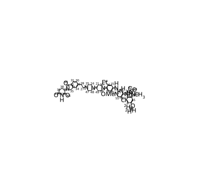 [2H]C([2H])([2H])Oc1ccc(Nc2nc(Nc3cc(CC)c(N4CCC(N5CCN(CCc6ccc7c(c6)CN(C6CCC(=O)NC6=O)C7=O)CC5)CC4)cc3OC)ncc2Cl)c(N(C)S(C)(=O)=O)c1